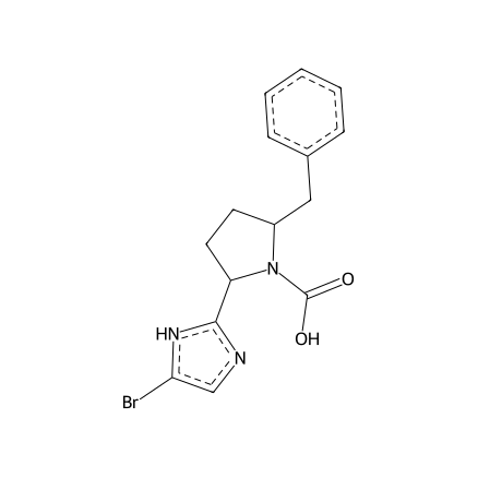 O=C(O)N1C(Cc2ccccc2)CCC1c1ncc(Br)[nH]1